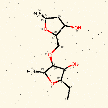 B[C@@H]1O[C@H](CC)C(O)[C@@H]1OC[C@H]1O[C@@H](B)CC1O